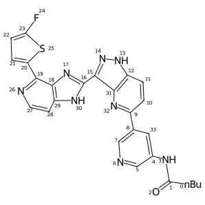 CCCCC(=O)Nc1cncc(-c2ccc3[nH]nc(-c4nc5c(-c6ccc(F)s6)nccc5[nH]4)c3n2)c1